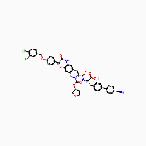 N#Cc1ccc(-c2ccc(C[C@H](NC(=O)[C@H]3Cc4cc5c(cc4CN3C(=O)OC3CCOC3)O[C@@H](c3ccc(OCc4ccc(Cl)c(Cl)c4)cc3)C(=O)N5)C(=O)O)cc2)cc1